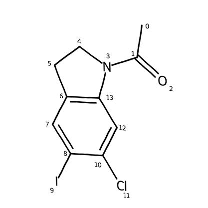 CC(=O)N1CCc2cc(I)c(Cl)cc21